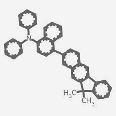 CC1(C)c2ccccc2-c2cc3ccc(-c4ccc(N(c5ccccc5)c5ccccc5)c5ccccc45)cc3cc21